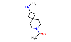 CNC1CC2(CCN(C(C)=O)CC2)C1